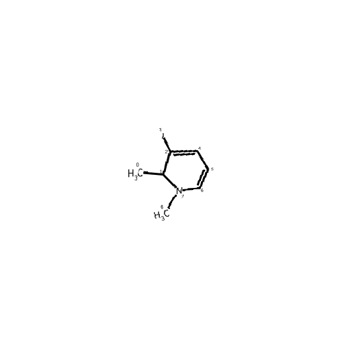 CC1C(I)=CC=CN1C